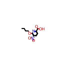 CCCCOc1nc(C(=O)O)ccc1[N+](=O)[O-]